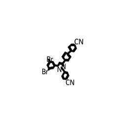 N#Cc1ccc(-c2ccc(-c3cc(-c4cc(Br)cc(Br)c4)nc(-c4ccc(C#N)cc4)n3)cc2)cc1